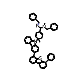 CN(Cc1ccccc1)C(/N=C/c1ccccc1)C1=CCC(C)(n2c3ccccc3c3cc(-c4cccc5c4sc4c(-c6ccccc6)cccc45)ccc32)C=C1